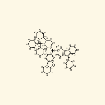 CC1C(N(c2ccc3c(c2)OC2CCC=CC32)C2(C)C=Cc3c(c4ccccc4n3C3C=CC=CC3)C2)=CC=C2C3C=CC=CC3C(C3=CCCC=C3)(C3=CCCCC3)C21